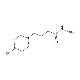 CCN1CCN(CCCC(=O)NC(C)(C)C)CC1